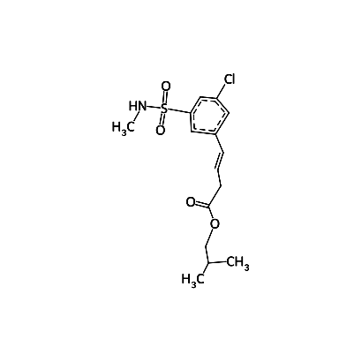 CNS(=O)(=O)c1cc(Cl)cc(/C=C/CC(=O)OCC(C)C)c1